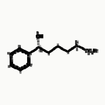 CCOC(=O)NCCC[C@@H](O)c1ccccc1